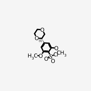 COc1cc([C@H]2COCCO2)cc(OC)c1S(=O)(=O)Cl